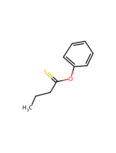 CCCC(=S)Oc1ccccc1